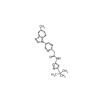 Cc1ccc2c(c1)ncn2-c1cnc(CC(=O)Nc2cc(C(C)(C)C)no2)nc1